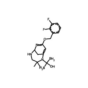 BC(B)(O)N1C2=CC(OCc3cccc(F)c3F)=NC(C2)NCC1(C)C